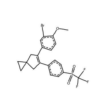 COc1ccc(C2=C(c3ccc(S(=O)(=O)C(F)(F)F)cc3)CC3(CC3)C2)cc1Br